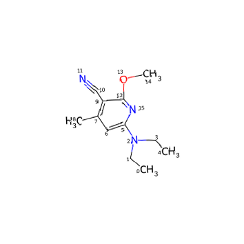 CCN(CC)c1cc(C)c(C#N)c(OC)n1